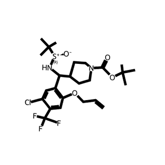 C=CCOc1cc(C(F)(F)F)c(Cl)cc1C(N[S@@+]([O-])C(C)(C)C)C1CCN(C(=O)OC(C)(C)C)CC1